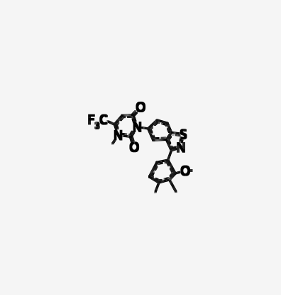 Cc1ccc(-c2nsc3ccc(-n4c(=O)cc(C(F)(F)F)n(C)c4=O)cc23)c([O])c1C